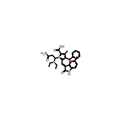 CCN(CC)C(CC(N)=O)n1c(C=C2C(=O)Nc3ccc(Br)cc32)c(C(=O)c2ccccc2)c(C)c1C(=O)O